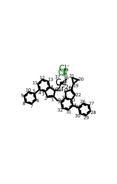 CC1=Cc2c(-c3ccccc3)cccc2[CH]1[Zr+2]([CH]1C(C2CC2)=Cc2c(-c3ccccc3)cccc21)=[Ge]([CH3])[CH3].[Cl-].[Cl-]